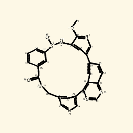 COc1ncc2cc1N[S+]([O-])c1cccc(c1)C(=O)NCc1cncc(c1)-c1ncnc3ccc-2cc13